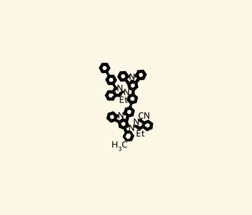 CCc1c(-n2c3c(c4cc5c6ccccc6n6c7cc(-c8ccc9c%10cc%11c%12ccccc%12n%12c%13ccccc%13c(c%10n(-c%10nc(-c%13ccc(-c%14ccccc%14)cc%13)c%13ccccc%13c%10CC)c9c8)c%11%12)ccc7c(c42)c56)CC(C)C=C3)nc(C#N)c2ccccc12